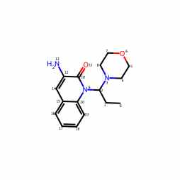 CCC(N1CCOCC1)n1c(=O)c(N)cc2ccccc21